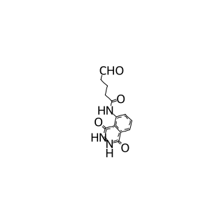 O=CCCCC(=O)Nc1cccc2c(=O)[nH][nH]c(=O)c12